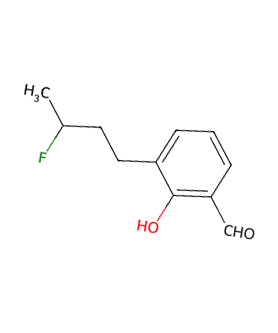 CC(F)CCc1cccc(C=O)c1O